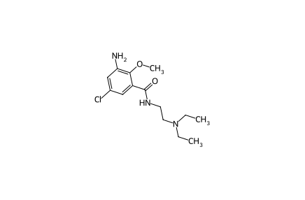 CCN(CC)CCNC(=O)c1cc(Cl)cc(N)c1OC